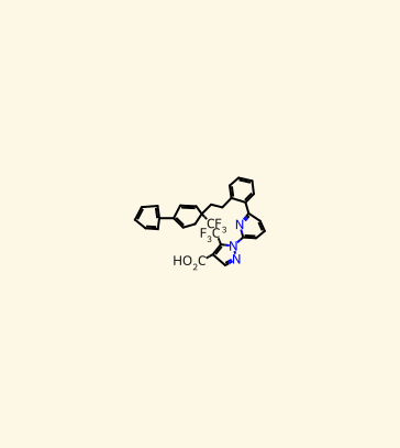 O=C(O)c1cnn(-c2cccc(-c3ccccc3CCC3(C(F)(F)F)C=CC(c4ccccc4)=CC3)n2)c1C(F)(F)F